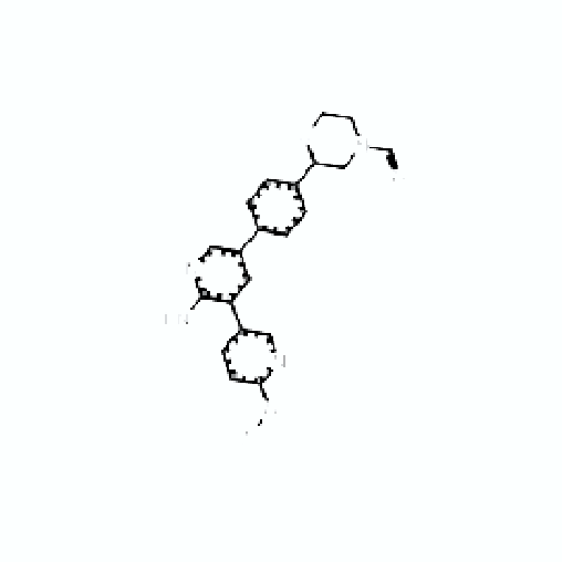 COc1ccc(-c2cc(-c3ccc(C4CN(C=O)CCO4)cc3)cnc2N)cn1